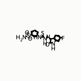 NS(=O)(=O)c1cccc(NC(=S)NN=C2C(=O)Nc3cc(F)ccc32)c1